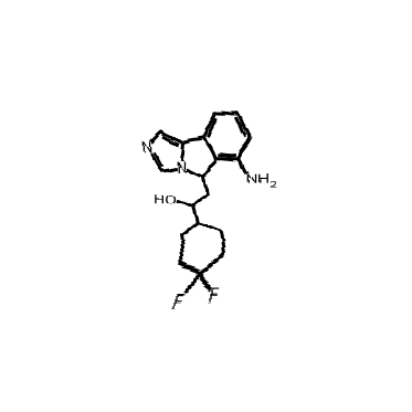 Nc1cccc2c1C(CC(O)C1CCC(F)(F)CC1)n1cncc1-2